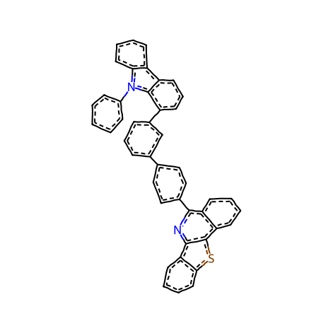 c1ccc(-n2c3ccccc3c3cccc(-c4cccc(-c5ccc(-c6nc7c8ccccc8sc7c7ccccc67)cc5)c4)c32)cc1